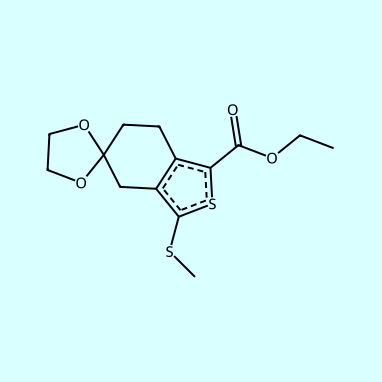 CCOC(=O)c1sc(SC)c2c1CCC1(C2)OCCO1